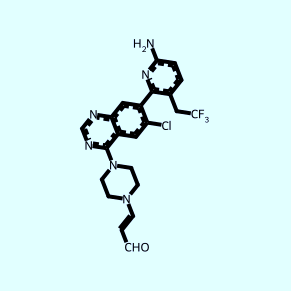 Nc1ccc(CC(F)(F)F)c(-c2cc3ncnc(N4CCN(C=CC=O)CC4)c3cc2Cl)n1